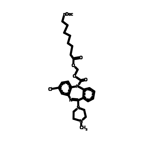 CCCCCCCCCCCCCCCCCC(=O)OCOC(=O)N1c2ccc(Cl)cc2N=C(N2CCN(C)CC2)c2ccccc21